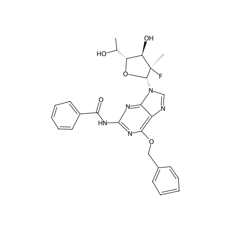 CC(O)[C@H]1O[C@@H](n2cnc3c(OCc4ccccc4)nc(NC(=O)c4ccccc4)nc32)[C@](C)(F)[C@@H]1O